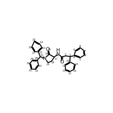 O=C(CC(c1ccccc1)c1ccccc1)NC1CCN(C(c2ccccc2)c2ccccc2)C1=O